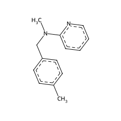 Cc1ccc(CN(C)c2ccccn2)cc1